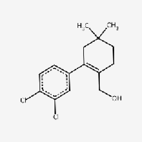 CC1(C)CCC(CO)=C(c2ccc(Cl)c(Cl)c2)C1